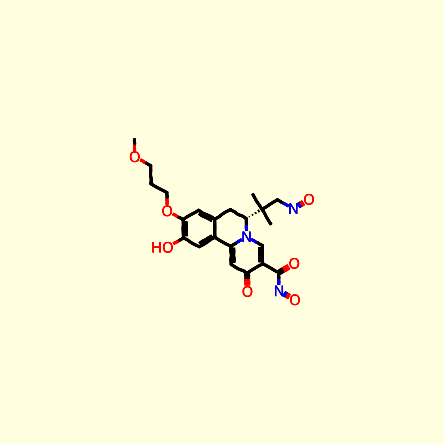 COCCCOc1cc2c(cc1O)-c1cc(=O)c(C(=O)N=O)cn1[C@@H](C(C)(C)CN=O)C2